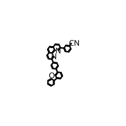 N#Cc1cccc(-c2ccc3ccc4ccc(-c5ccc(-c6cccc7c6oc6ccccc67)cc5)nc4c3n2)c1